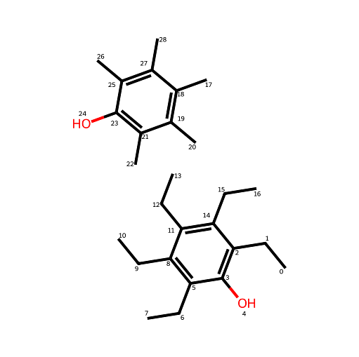 CCc1c(O)c(CC)c(CC)c(CC)c1CC.Cc1c(C)c(C)c(O)c(C)c1C